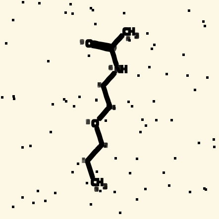 CCCOCCNC(C)=O